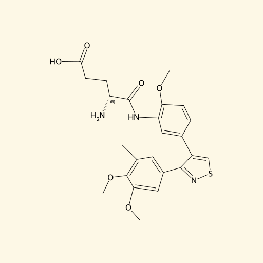 COc1ccc(-c2csnc2-c2cc(C)c(OC)c(OC)c2)cc1NC(=O)[C@H](N)CCC(=O)O